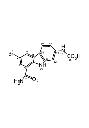 NC(=O)c1cc(Br)cc2c1[nH]c1cc(NC(=O)O)ccc12